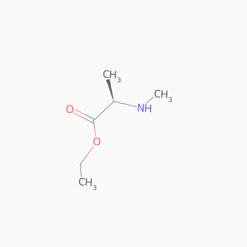 CCOC(=O)[C@@H](C)NC